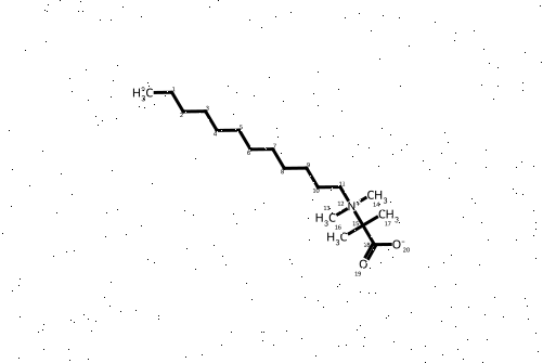 CCCCCCCCCCCC[N+](C)(C)C(C)(C)C(=O)[O-]